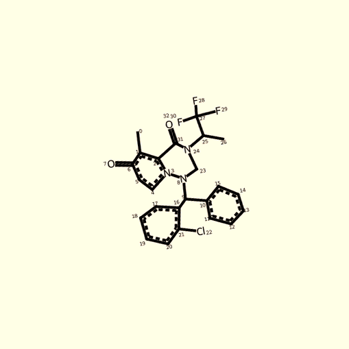 Cc1c2n(ccc1=O)N(C(c1ccccc1)c1ccccc1Cl)CN(C(C)C(F)(F)F)C2=O